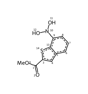 COC(=O)c1cc2cccc(N(O)O)c2s1